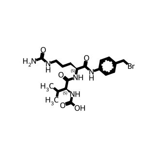 CC(C)[C@H](NC(=O)O)C(=O)N[C@@H](CCCNC(N)=O)C(=O)Nc1ccc(CBr)cc1